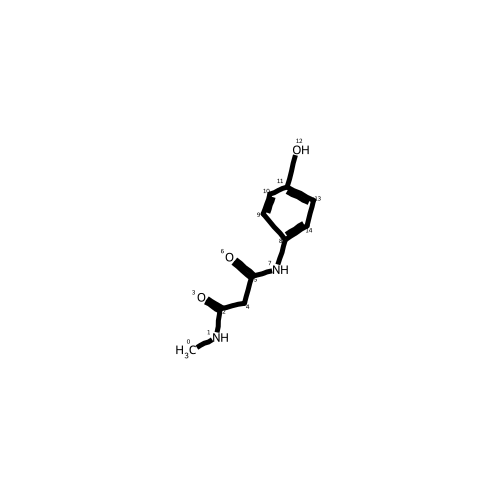 CNC(=O)CC(=O)Nc1ccc(O)cc1